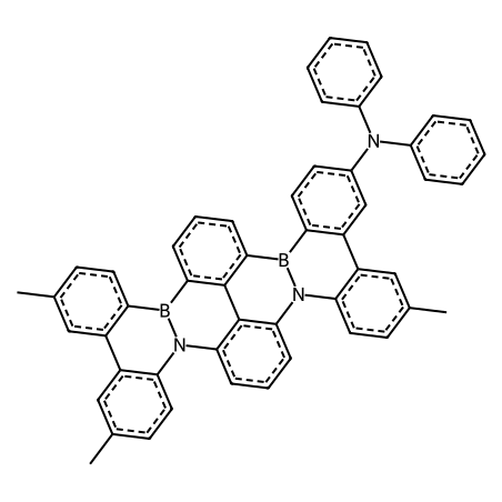 Cc1ccc2c(c1)-c1cc(C)ccc1N1B2c2cccc3c2-c2c1cccc2N1B3c2ccc(N(c3ccccc3)c3ccccc3)cc2-c2cc(C)ccc21